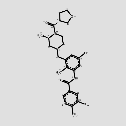 Cc1ncc(C(=O)Nc2cc(Cl)cc(CN3CCN(C(=O)[C@@H]4CCOC4)[C@H](C)C3)c2C)cc1F